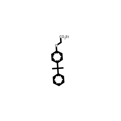 CCOC(=O)COc1ccc(C(C)(C)c2ccccc2)cc1